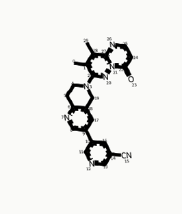 Cc1c(N2CCc3ncc(-c4cncc(C#N)c4)cc3C2)nn2c(=O)ccnc2c1C